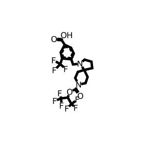 O=C(O)c1ccc(CN2CCCC23CCN(C(=O)OC(C(F)(F)F)C(F)(F)F)CC3)c(C(F)(F)F)c1